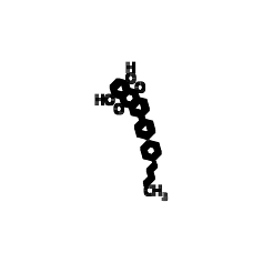 CCCCC[C@H]1CC[C@H](c2ccc(-c3ccc4c(c3)C(=O)c3c(O)ccc(O)c3C4=O)cc2)CC1